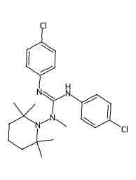 CN(C(=Nc1ccc(Cl)cc1)Nc1ccc(Cl)cc1)N1C(C)(C)CCCC1(C)C